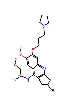 COC[C@H](C)Nc1c2c(nc3cc(OCCCN4CCCC4)c(OC)cc13)CC(C)C2